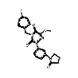 COc1nn(-c2cccc(N3CCCC3=O)c2)c(=O)n(Cc2ccc(Cl)cc2)c1=O